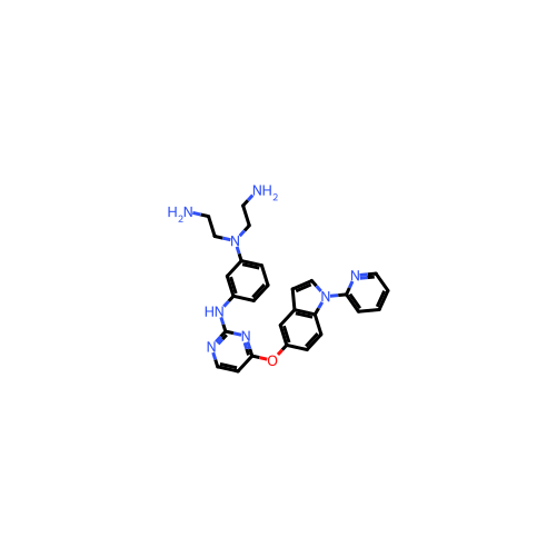 NCCN(CCN)c1cccc(Nc2nccc(Oc3ccc4c(ccn4-c4ccccn4)c3)n2)c1